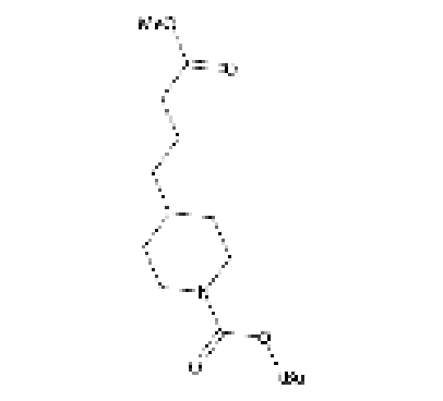 COC(=O)CCCC1CCN(C(=O)OC(C)(C)C)CC1